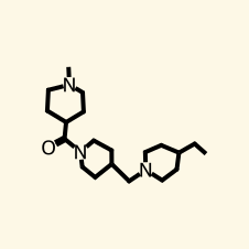 CCC1CCN(CC2CCN(C(=O)C3CCN(C)CC3)CC2)CC1